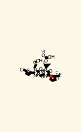 COCCn1c(-c2ccc(Cl)s2)nn(CC(=O)NC(C(=O)NC2CC2)c2cccc(C(F)(F)F)c2)c1=O.O=C(O)O